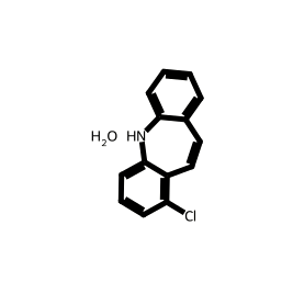 Clc1cccc2c1C=Cc1ccccc1N2.O